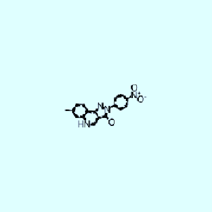 Cc1ccc2c3nn(-c4ccc([N+](=O)[O-])cc4)c(=O)c-3c[nH]c2c1